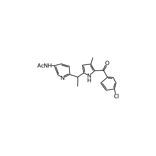 CC(=O)Nc1ccc(C(C)c2cc(C)c(C(=O)c3ccc(Cl)cc3)[nH]2)nc1